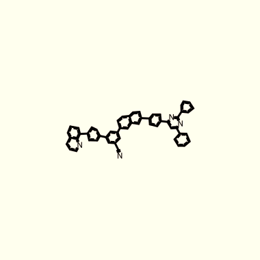 N#Cc1cc(-c2ccc(-c3cccc4cccnc34)cc2)cc(-c2ccc3ccc(-c4ccc(-c5cc(-c6ccccc6)nc(-c6ccccc6)n5)cc4)cc3c2)c1